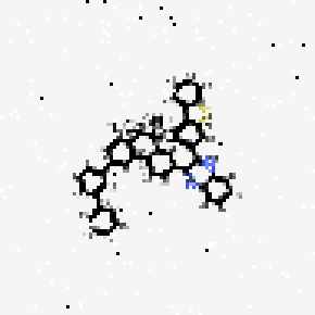 CC1(C)c2ccc(-c3cccc(-c4ccccc4)c3)cc2-c2ccc(-c3nc4ccccc4nc3-c3ccc4c(c3)sc3ccccc34)cc2C1(C)C